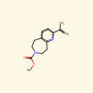 C=C(C)c1ccc2c(n1)CCN(C(=O)OC(C)(C)C)CC2